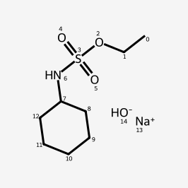 CCOS(=O)(=O)NC1CCCCC1.[Na+].[OH-]